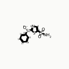 NS(=O)(=O)c1cnc([S+]([O-])c2ccccc2)s1